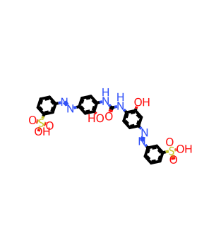 O=C(Nc1ccc(N=Nc2cccc(S(=O)(=O)O)c2)cc1O)Nc1ccc(N=Nc2cccc(S(=O)(=O)O)c2)cc1O